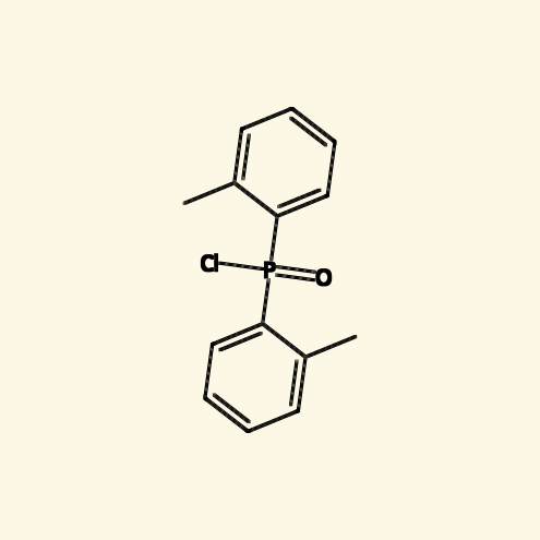 Cc1ccccc1P(=O)(Cl)c1ccccc1C